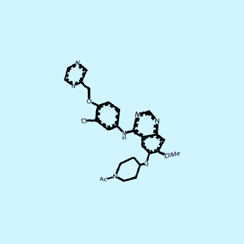 COc1cc2ncnc(Nc3ccc(OCc4cnccn4)c(Cl)c3)c2cc1OC1CCN(C(C)=O)CC1